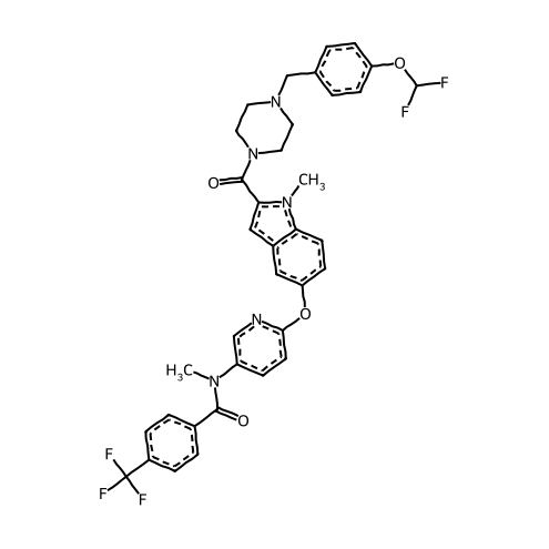 CN(C(=O)c1ccc(C(F)(F)F)cc1)c1ccc(Oc2ccc3c(c2)cc(C(=O)N2CCN(Cc4ccc(OC(F)F)cc4)CC2)n3C)nc1